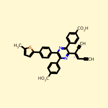 C#C/C=C(\C#C)c1nc(-c2ccc(C(=O)O)cc2)c(-c2ccc(-c3ccc(C)s3)cc2)nc1-c1ccc(C(=O)O)cc1